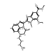 COC(=O)c1cc(OC)c2c(c1)nc(-c1cc3cccc4c3n1C(C)CN4CCCO)n2C